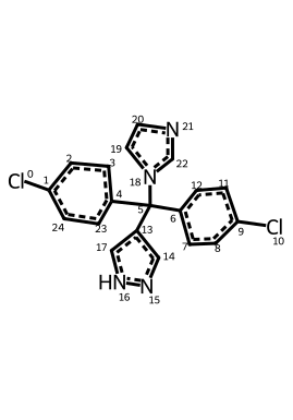 Clc1ccc(C(c2ccc(Cl)cc2)(c2cn[nH]c2)n2ccnc2)cc1